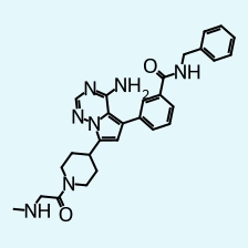 CNCC(=O)N1CCC(c2cc(-c3cccc(C(=O)NCc4ccccc4)c3)c3c(N)ncnn23)CC1